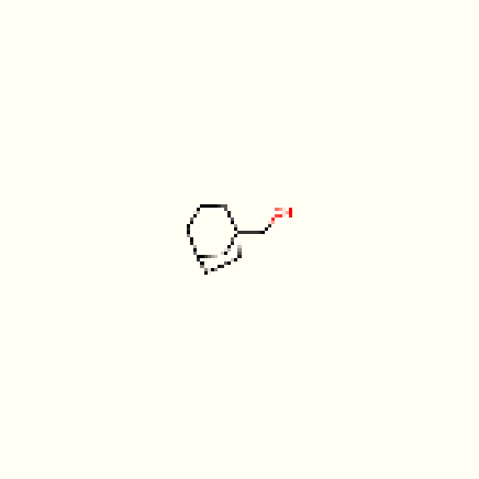 OCC12CCCC(CC1)C2